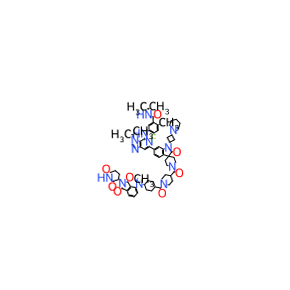 Cc1cc(F)c(Nc2nc(-c3ccc4c(c3)N([C@H]3C[C@@H](N5CCCCC5)C3)C(=O)C43CCN(C(=O)C4CCN(C(=O)C5CCC(N(C)c6cccc7c6C(=O)N(C6CCC(=O)NC6=O)C7=O)CC5)CC4)CC3)cc3ncn(C(C)C)c23)cc1C(=O)NC(C)C